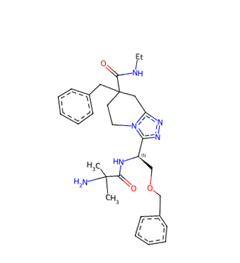 CCNC(=O)C1(Cc2ccccc2)CCn2c(nnc2[C@@H](COCc2ccccc2)NC(=O)C(C)(C)N)C1